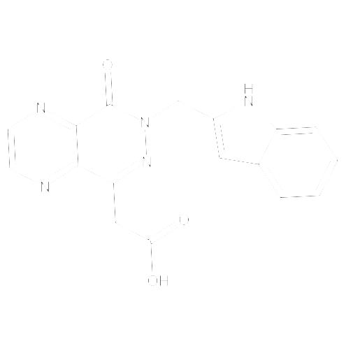 O=C(O)Cc1nn(Cc2cc3ccccc3[nH]2)c(=O)c2nccnc12